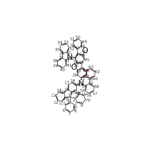 C1=CC(C2(c3ccccc3)c3ccccc3-c3ccc(N(c4ccc5c(c4)oc4c(-n6c7ccccc7c7ccccc76)c6c(cc45)oc4ccccc46)c4ccccc4-c4ccccc4)cc32)=CCC1